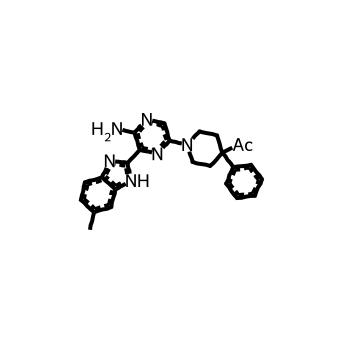 CC(=O)C1(c2ccccc2)CCN(c2cnc(N)c(-c3nc4ccc(C)cc4[nH]3)n2)CC1